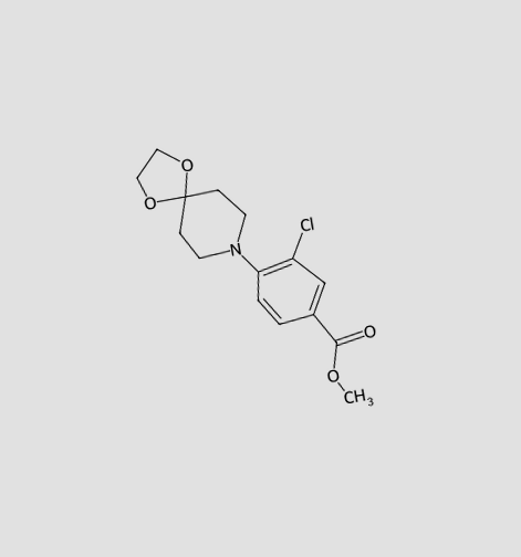 COC(=O)c1ccc(N2CCC3(CC2)OCCO3)c(Cl)c1